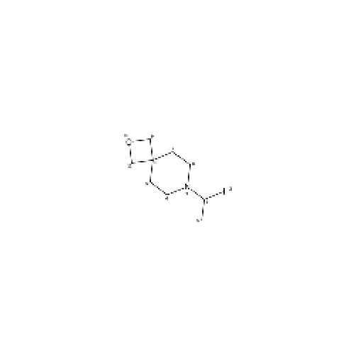 CC(I)N1CCC2(CC1)COC2